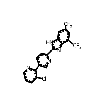 FC(F)(F)c1cc(C(F)(F)F)c2nc(-c3ccc(-c4ncccc4Cl)cn3)[nH]c2c1